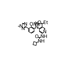 CCC(=O)c1cnc(NC(=O)NC2CCC2)cc1Nc1cccc(-c2ncn(C)n2)c1OC